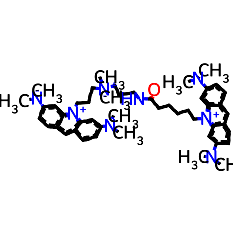 CN(C)c1ccc2cc3ccc(N(C)C)cc3[n+](CCCCCC(=O)NCCC[N+](C)(C)CCC[n+]3c4cc(N(C)C)ccc4cc4ccc(N(C)C)cc43)c2c1